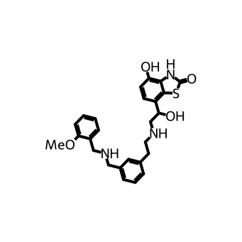 COc1ccccc1CNCc1cccc(CCNCC(O)c2ccc(O)c3[nH]c(=O)sc23)c1